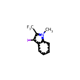 Cn1c(C(F)(F)F)c(I)c2ccccc21